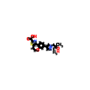 CC(C)(O)Cn1cc(-c2ccc3c(c2)OCCc2sc(C(=O)O)nc2-3)cn1